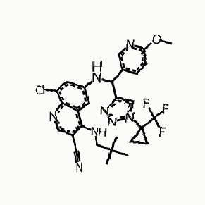 COc1ccc(C(Nc2cc(Cl)c3ncc(C#N)c(NCC(C)(C)C)c3c2)c2cn(C3(C(F)(F)F)CC3)nn2)cn1